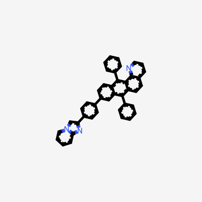 c1ccc(-c2c3cc(-c4ccc(-c5cn6ccccc6n5)cc4)ccc3c(-c3ccccc3)c3c2ccc2cccnc23)cc1